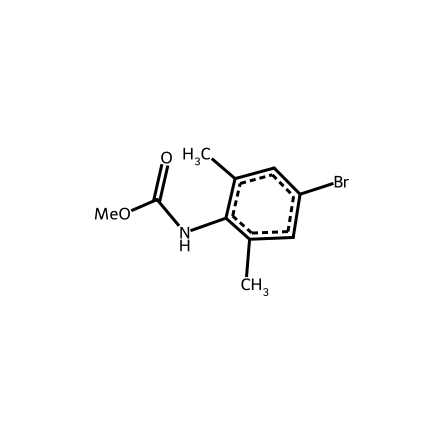 COC(=O)Nc1c(C)cc(Br)cc1C